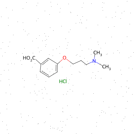 CN(C)CCCOc1cccc(C(=O)O)c1.Cl